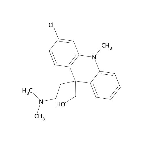 CN(C)CCC1(CO)c2ccccc2N(C)c2cc(Cl)ccc21